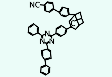 N#Cc1ccc(-c2ccc(C34CC5CC6CC(c7ccc(-c8nc(-c9ccccc9)nc(-c9ccc(-c%10ccccc%10)cc9)n8)cc7)(C3)CC654)cc2)cc1